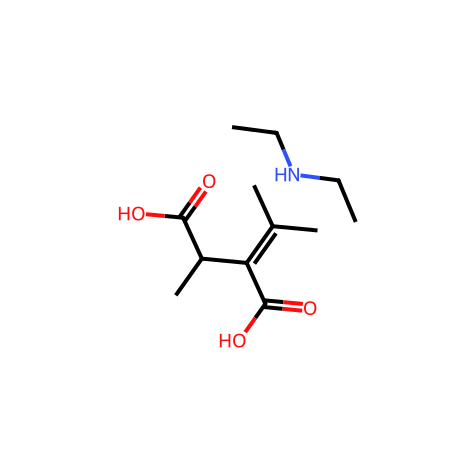 CC(C)=C(C(=O)O)C(C)C(=O)O.CCNCC